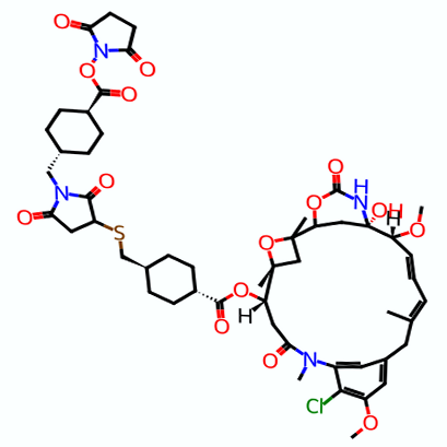 COc1cc2cc(c1Cl)N(C)C(=O)C[C@H](OC(=O)[C@H]1CC[C@H](CSC3CC(=O)N(C[C@H]4CC[C@H](C(=O)ON5C(=O)CCC5=O)CC4)C3=O)CC1)[C@@]1(C)CC(C)(O1)C1C[C@@](O)(NC(=O)O1)[C@H](OC)/C=C/C=C(\C)C2